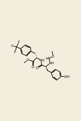 COBN[C@@H](Cc1ccc(O)cc1)C(=O)N[C@@H](Cc1ccc(C(F)(F)F)cc1)C(=O)OC